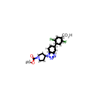 CC(C)OC(=O)N1CCC(n2nnc3cc(-c4cc(F)c(C(=O)O)cc4F)ccc32)CC1